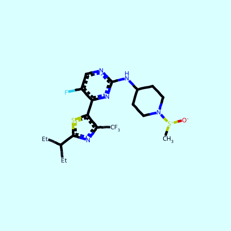 CCC(CC)c1nc(C(F)(F)F)c(-c2nc(NC3CCN([S+](C)[O-])CC3)ncc2F)s1